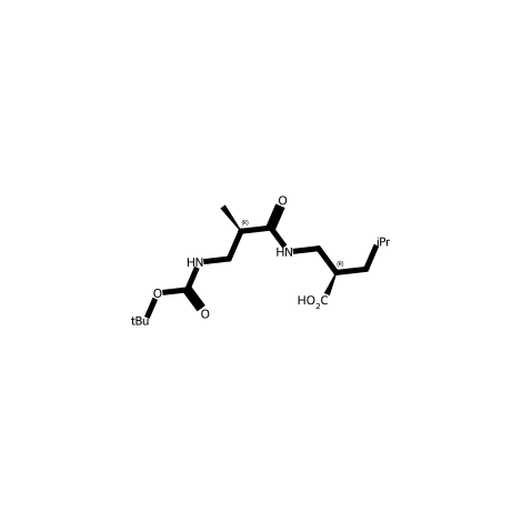 CC(C)C[C@H](CNC(=O)[C@H](C)CNC(=O)OC(C)(C)C)C(=O)O